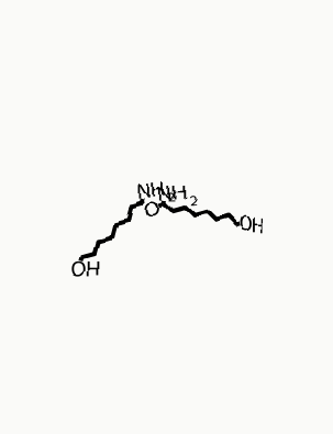 NC(CCCCCCCO)OC(N)CCCCCCCO